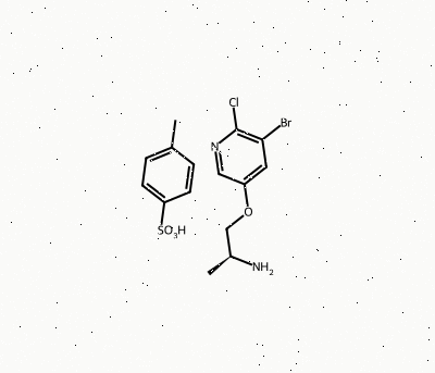 C[C@H](N)COc1cnc(Cl)c(Br)c1.Cc1ccc(S(=O)(=O)O)cc1